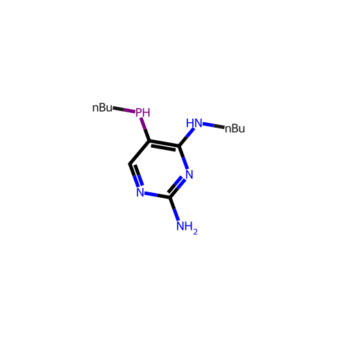 CCCCNc1nc(N)ncc1PCCCC